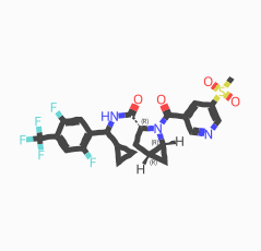 CS(=O)(=O)c1cncc(C(=O)N2[C@@H](C(=O)NC(c3cc(F)c(C(F)(F)F)cc3F)C3CC3)C[C@H]3C[C@H]32)c1